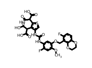 COc1cc(F)c(NC(=O)Nc2csc(C(C(=O)O)C(=O)O)c2C(C(=O)O)C(=O)O)cc1OCc1c(F)ccc2c1OCCO2